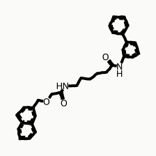 O=C(COCc1ccc2ccccc2c1)NCCCCCC(=O)Nc1cccc(-c2ccccc2)c1